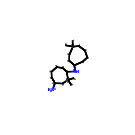 C[Si]1(C)CCCCC(NC2CCCCC(N)C[Si]2(C)C)CC1